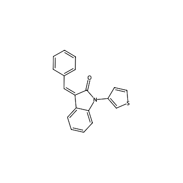 O=C1C(=Cc2ccccc2)c2ccccc2N1c1ccsc1